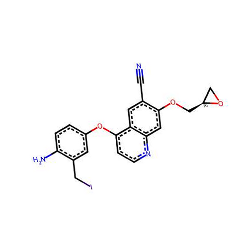 N#Cc1cc2c(Oc3ccc(N)c(CI)c3)ccnc2cc1OC[C@H]1CO1